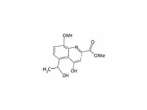 COC(=O)c1cc(O)c2c(C(C)O)ccc(OC)c2n1